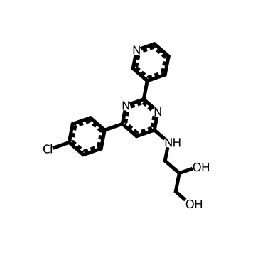 OCC(O)CNc1cc(-c2ccc(Cl)cc2)nc(-c2cccnc2)n1